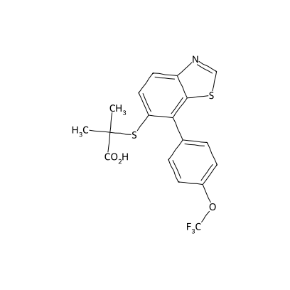 CC(C)(Sc1ccc2ncsc2c1-c1ccc(OC(F)(F)F)cc1)C(=O)O